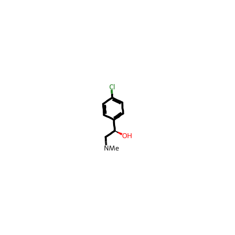 CNC[C@H](O)c1ccc(Cl)cc1